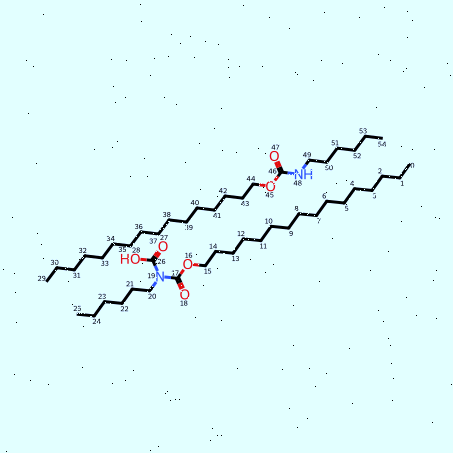 CCCCCCCCCCCCCCCCOC(=O)N(CCCCCC)C(=O)O.CCCCCCCCCCCCCCCCOC(=O)NCCCCCC